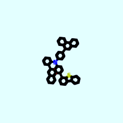 c1ccc(N(c2ccc(-c3cc4ccccc4c4ccccc34)cc2)c2ccc(-c3cccc4c3sc3ccccc34)cc2)c(-c2ccc3ccccc3c2)c1